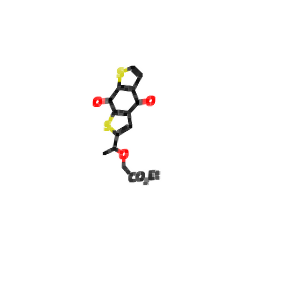 CCOC(=O)COC(C)c1cc2c(s1)C(=O)c1sccc1C2=O